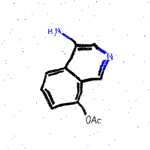 CC(=O)Oc1cccc2c(N)cncc12